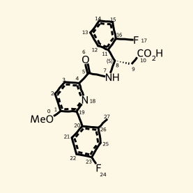 COc1ccc(C(=O)N[C@@H](CC(=O)O)c2ccccc2F)nc1-c1ccc(F)cc1C